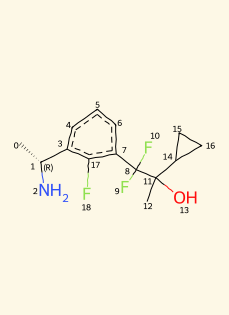 C[C@@H](N)c1cccc(C(F)(F)C(C)(O)C2CC2)c1F